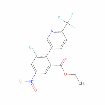 CCOC(=O)c1cc([N+](=O)[O-])cc(Cl)c1-c1ccc(C(F)(F)F)nc1